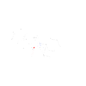 COC(=O)C12CC3CC(C1)C(NC(=O)C(C)(C)c1ccccc1)C(C3)C2